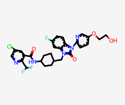 O=C(NC1CCC(Cn2c(=O)n(-c3ccc(OCCO)cn3)c3ccc(F)cc32)CC1)c1cc(Cl)cnc1C(F)F